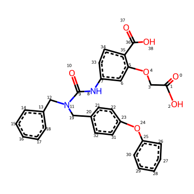 O=C(O)COc1cc(NC(=O)N(Cc2ccccc2)Cc2ccc(Oc3ccccc3)cc2)ccc1C(=O)O